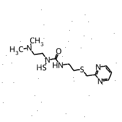 CN(C)CCN(S)C(=O)NCCSCc1ncccn1